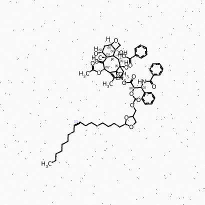 CCCCCCCC/C=C\CCCCCCCC1OCC(COC(=O)O[C@@H](C(=O)O[C@H]2C[C@@]3(O)[C@@H](OC(=O)c4ccccc4)[C@@H]4[C@]5(O)CO[C@@H]5C[C@H](O)[C@@]4(C)C(=O)[C@H](OC(C)=O)C(=C2C)C3(C)C)[C@@H](NC(=O)c2ccccc2)c2ccccc2)O1